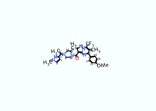 C=C(c1ccn(C)n1)N1CCN(C(=O)c2cnn3c(C(F)(F)F)c(C)c(-c4ccc(OC)cc4)nc23)[C@H](C)C1